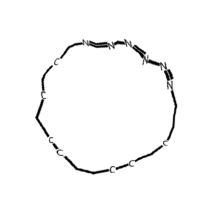 C1CCCCCCC/N=N/N=N/N=N/CCCCCCC1